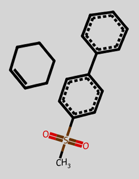 C1=CCCCC1.CS(=O)(=O)c1ccc(-c2ccccc2)cc1